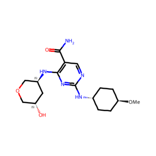 CO[C@H]1CC[C@H](Nc2ncc(C(N)=O)c(N[C@@H]3COC[C@@H](O)C3)n2)CC1